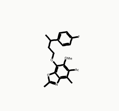 COc1c(C(C)=O)c(C)c2nc(C)oc2c1OCCC(C)c1ccc(F)cc1